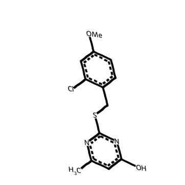 COc1ccc(CSc2nc(C)cc(O)n2)c(Cl)c1